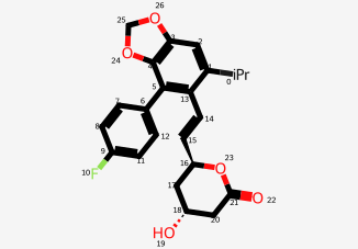 CC(C)c1cc2c(c(-c3ccc(F)cc3)c1/C=C/[C@@H]1C[C@@H](O)CC(=O)O1)OCO2